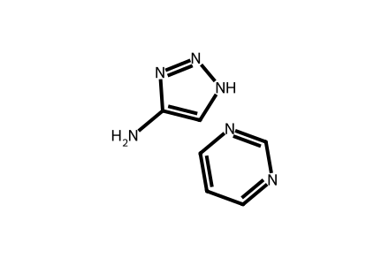 Nc1c[nH]nn1.c1cncnc1